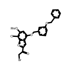 COc1cc(OCc2cccc(OCc3ccccc3)c2)c2cc(C(=O)CBr)oc2c1Cl